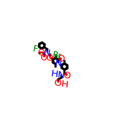 COC(=O)N(COc1cc(C)n(-c2cc(C(=O)NCCO)ccc2C)c(=O)c1Br)Cc1cccc(F)c1